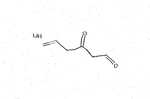 C=CCC(=O)C[C]=O.[LiH]